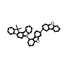 CC1(C)c2ccccc2-c2ccc3c(c21)c1ccccc1n3-c1cccc2oc3cc(-c4ccc5oc6ccccc6c5c4)ccc3c12